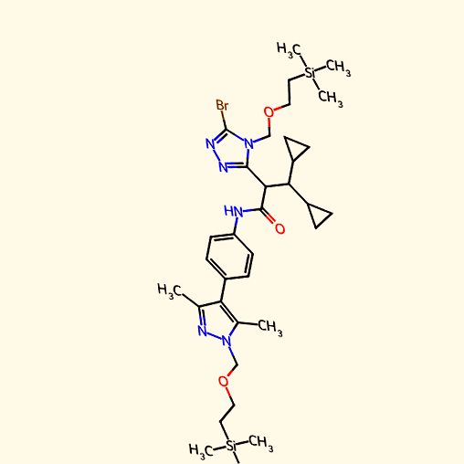 Cc1nn(COCC[Si](C)(C)C)c(C)c1-c1ccc(NC(=O)C(c2nnc(Br)n2COCC[Si](C)(C)C)C(C2CC2)C2CC2)cc1